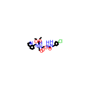 CCOC(OCC)[C@H](C)N(Cc1cccc2cccnc12)C[C@@H](C=O)NC(=O)CONC(=O)NCc1ccc(Cl)cc1